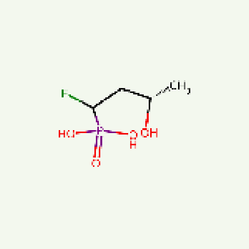 C[C@H](O)CC(F)P(=O)(O)O